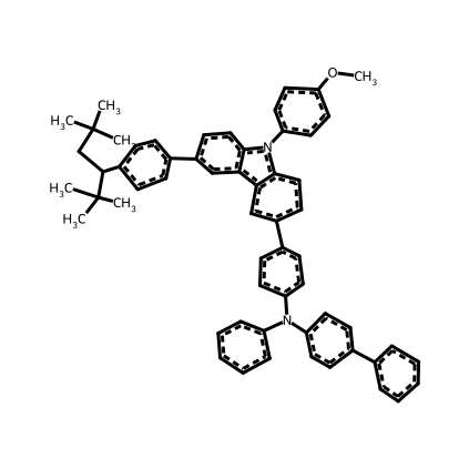 COc1ccc(-n2c3ccc(-c4ccc(C(CC(C)(C)C)C(C)(C)C)cc4)cc3c3cc(-c4ccc(N(c5ccccc5)c5ccc(-c6ccccc6)cc5)cc4)ccc32)cc1